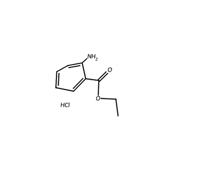 CCOC(=O)c1ccccc1N.Cl